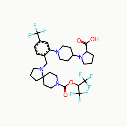 O=C(O)[C@H]1CCCN1C1CCN(c2cc(C(F)(F)F)ccc2CN2CCCC23CCN(C(=O)OC(C(F)(F)F)C(F)(F)F)CC3)CC1